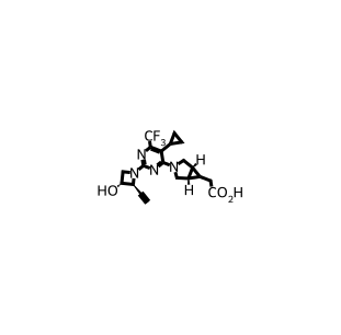 C#C[C@H]1[C@H](O)CN1c1nc(N2C[C@@H]3C(CC(=O)O)[C@@H]3C2)c(C2CC2)c(C(F)(F)F)n1